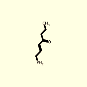 CCCC(=O)C=CCP